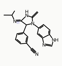 C=C1N/C(=N\C(C)C)C(c2cccc(C#N)c2)N1c1ccc2[nH]cnc2c1